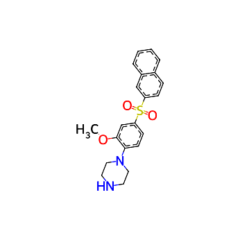 COc1cc(S(=O)(=O)c2ccc3ccccc3c2)ccc1N1CCNCC1